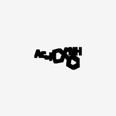 CC(=O)CN1CCC2(CC1)CNc1ccccc12